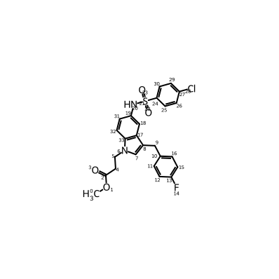 COC(=O)CCn1cc(Cc2ccc(F)cc2)c2cc(NS(=O)(=O)c3ccc(Cl)cc3)ccc21